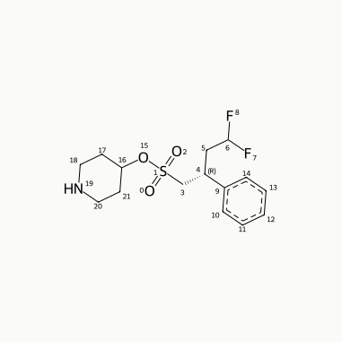 O=S(=O)(C[C@H](CC(F)F)c1ccccc1)OC1CCNCC1